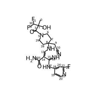 CC(O)(C(=O)N1CCC(CC#N)(N/C=C(\C(=N)Nc2ccnc(F)c2)C(N)=O)CC1)C(F)F